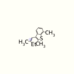 CC/C(C)=C\c1c(C)sc2c(C)cccc12